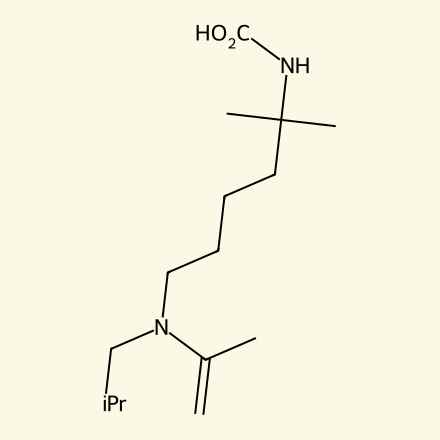 C=C(C)N(CCCCC(C)(C)NC(=O)O)CC(C)C